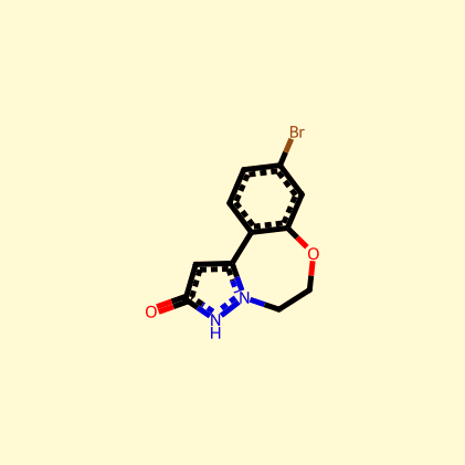 O=c1cc2n([nH]1)CCOc1cc(Br)ccc1-2